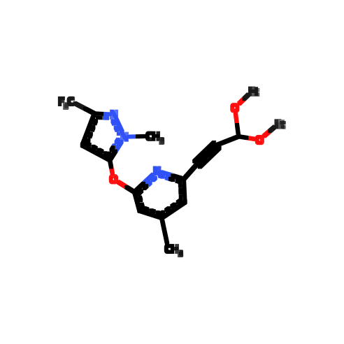 CCOC(C#Cc1cc(C)cc(Oc2cc(C(F)(F)F)nn2C)n1)OCC